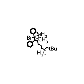 CC(CCCC(C)CC(C)(C)C)=C(c1ccccc1)C(Br)(O[SiH3])c1ccccc1